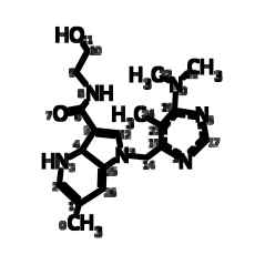 CC1=CNC2C(C(=O)NCCO)=CN(Cc3ncnc(N(C)C)c3C)C2=C1